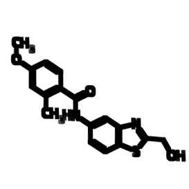 COc1ccc(C(=O)Nc2ccc3sc(CO)nc3c2)c(C)c1